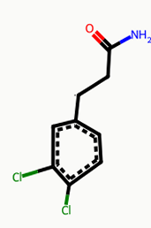 NC(=O)C[CH]c1ccc(Cl)c(Cl)c1